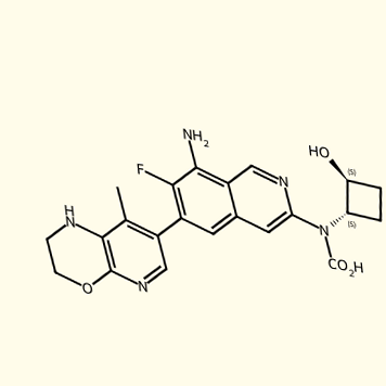 Cc1c(-c2cc3cc(N(C(=O)O)[C@H]4CC[C@@H]4O)ncc3c(N)c2F)cnc2c1NCCO2